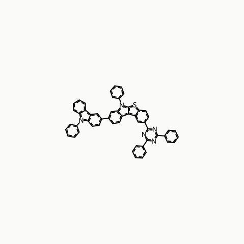 c1ccc(-c2nc(-c3ccccc3)nc(-c3ccc4sc5c(c4c3)c3ccc(-c4ccc6c(c4)c4ccccc4n6-c4ccccc4)cc3n5-c3ccccc3)n2)cc1